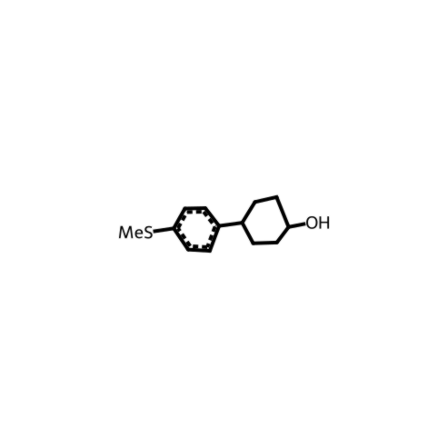 CSc1ccc(C2CCC(O)CC2)cc1